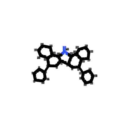 c1ccc(-c2cc3c4cc(-c5ccccc5)c5ccccc5c4[nH]c3c3ccccc23)cc1